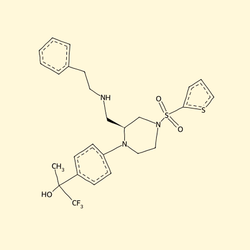 CC(O)(c1ccc(N2CCN(S(=O)(=O)c3cccs3)C[C@@H]2CNCCc2ccccc2)cc1)C(F)(F)F